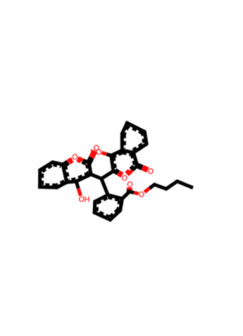 CCCCOC(=O)c1ccccc1C(c1oc(=O)c2ccccc2c1O)c1c(O)c2ccccc2oc1=O